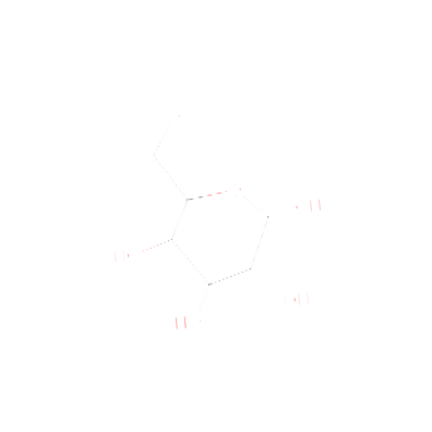 OCC1O[C@H](O)[C@H](O)C(O)C1O